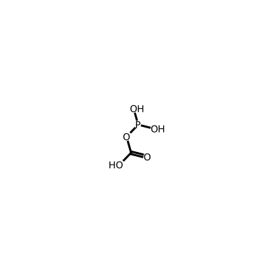 O=C(O)OP(O)O